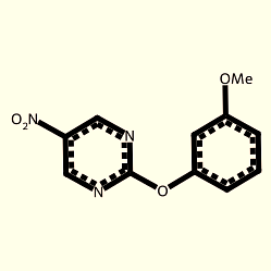 COc1cccc(Oc2ncc([N+](=O)[O-])cn2)c1